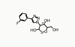 OCC1OSC(O)C(n2cc(-c3cccc(F)c3)nn2)[C@H]1O